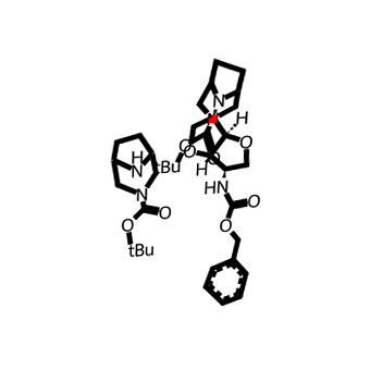 CC(C)(C)OC(=O)N1CC2CCC(C1)N2.CC(C)(C)OC(=O)N1CC2CCC(C1)N2[C@H]1CO[C@H]2[C@@H]1OC[C@@H]2NC(=O)OCc1ccccc1